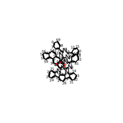 c1ccc(-c2nc(-c3ccccc3)nc(-c3ccc(-n4c5ccccc5c5ccc6c7ccccc7n(-c7nc(-c8ccccc8)nc(-c8ccc9c(ccc%10ccccc%109)c8)n7)c6c54)cc3)n2)cc1